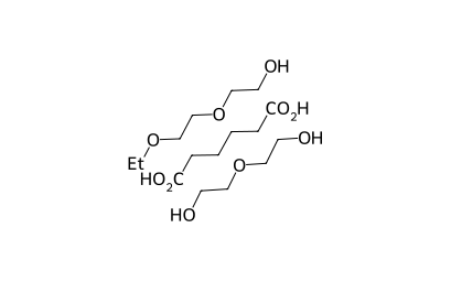 CCOCCOCCO.O=C(O)CCCCC(=O)O.OCCOCCO